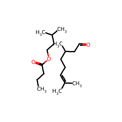 CC(C)=CCCC(C)CC=O.CCCC(=O)OCCC(C)C